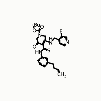 C=CCCc1cccc(NC(=S)C2=C(NCc3ccncc3F)CN(C(=O)OC(C)(C)C)CC2=O)c1